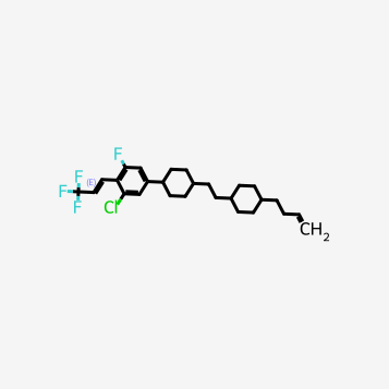 C=CCCC1CCC(CCC2CCC(c3cc(F)c(/C=C/C(F)(F)F)c(Cl)c3)CC2)CC1